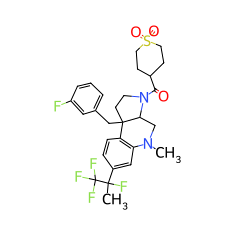 CN1CC2N(C(=O)C3CCS(=O)(=O)CC3)CCC2(Cc2cccc(F)c2)c2ccc(C(C)(F)C(F)(F)F)cc21